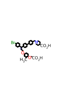 Cc1cc(OC/C=C(/c2ccc(Br)cc2)c2ccc(-c3ccc(CN4CCC(C(=O)O)CC4)cc3)cc2)ccc1OCC(=O)O